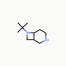 CC(C)(C)N1CC2CNCCC21